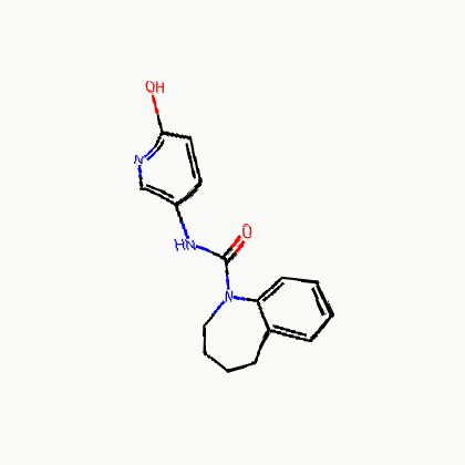 O=C(Nc1ccc(O)nc1)N1CCCCc2ccccc21